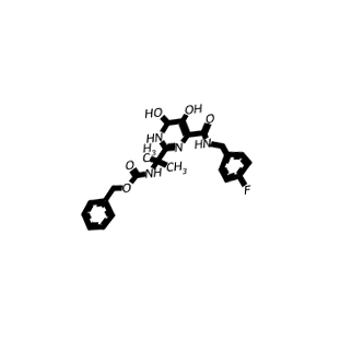 CC(C)(NC(=O)OCc1ccccc1)C1=NC(C(=O)NCc2ccc(F)cc2)=C(O)C(O)N1